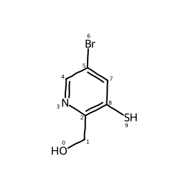 OCc1ncc(Br)cc1S